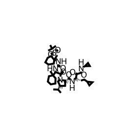 CC(C)[C@@H]1C[C@@H](C(=O)N[C@@H](CCC2CC2)C(=O)C(=O)NC2CC2)N(C(=O)[C@@H](NC(=O)NC2(CS(=O)(=O)C(C)(C)C)CCCCC2)C2(C)CCCCC2)C1